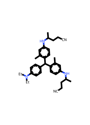 CCN(CC)c1ccc(C(c2ccc(NC(C)CCC#N)cc2C)c2ccc(NC(C)CCC#N)cc2C)cc1